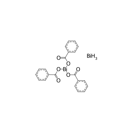 O=C([O][Bi]([O]C(=O)c1ccccc1)[O]C(=O)c1ccccc1)c1ccccc1.[BiH3]